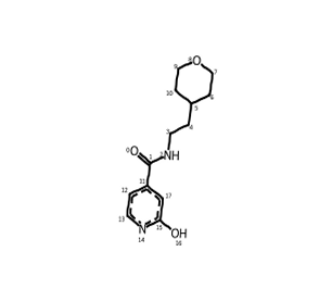 O=C(NCCC1CCOCC1)c1ccnc(O)c1